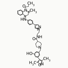 CCC(=O)N1c2ccccc2[C@H](Nc2ccc(-c3cnn(CCNC(=O)C4CCN(Cc5cc(O)cc(-c6c(C)noc6C)c5)CC4)c3)cc2)C[C@@H]1C